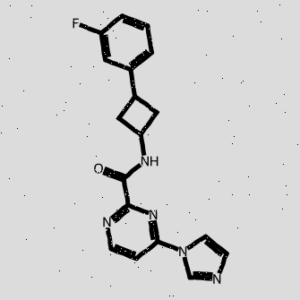 O=C(NC1CC(c2cccc(F)c2)C1)c1nccc(-n2ccnc2)n1